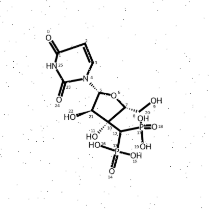 O=c1ccn([C@@H]2O[C@H](CO)[C@@](O)(C(P(=O)(O)O)P(=O)(O)O)[C@H]2O)c(=O)[nH]1